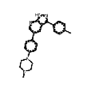 Cc1ccc(-c2n[nH]c3ncc(-c4ccc(N5CCN(C)CC5)cc4)cc23)cc1